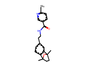 CC(C)(C)c1ccc(C(=O)NCCc2ccc3c(c2)C2(C)CCC3(C)O2)cn1